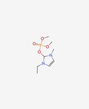 CCN1C=CN(C)C1OP(=O)(OC)OC